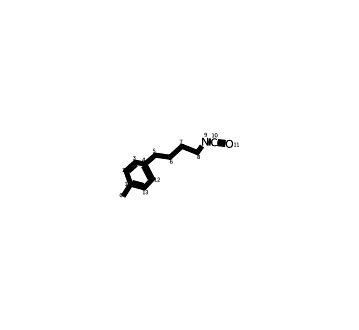 Cc1ccc(CCCCN=C=O)cc1